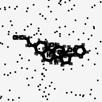 C[C@]12CCC(OCC=O)CC1CC[C@@H]1[C@H]2CC[C@]2(C)C(C3OCCO3)CC[C@@]12O